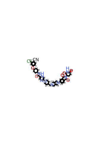 N#Cc1ccc(O[C@H]2CC[C@H](NC(=O)c3cnc(N4CCC(CN5CC6CN(c7ccc8c(c7)C(=O)N(C7CCC(=O)NC7=O)C8=O)CC6C5)CC4)cn3)CC2)cc1Cl